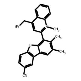 Cc1cc2c(oc3ccc(C#N)cc32)c(-c2cc(CC(C)C)c3ccccc3[n+]2C)c1C